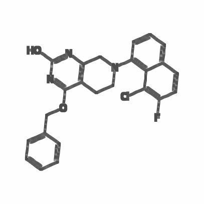 Oc1nc2c(c(OCc3ccccc3)n1)CCN(c1cccc3ccc(F)c(Cl)c13)C2